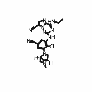 CCNc1nc(Nc2cc(C#N)cc(N3C[C@@H]4C[C@H]3CN4C)c2Cl)nn2c(C#N)cnc12